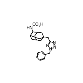 O=C(O)NC1C2CC3CC1CC(Cc1nnn(Cc4ccccc4)n1)(C3)C2